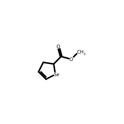 COC(=O)C1CC=C[Se]1